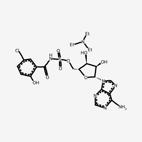 CCN(CC)CC.Nc1ncnc2c1ncn2[C@@H]1O[C@H](COS(=O)(=O)NC(=O)c2cc(Cl)ccc2O)[C@@H](O)[C@H]1O